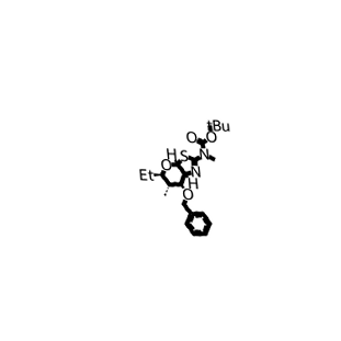 CC[C@H]1O[C@@H]2SC(N(C)C(=O)OC(C)(C)C)=N[C@@H]2[C@@H](OCc2ccccc2)[C@@H]1C